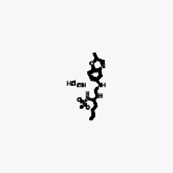 CCCCC(NCNc1ccc2c(c1)N=CC(C)O2)NS(C)(=O)=O.Cl.Cl